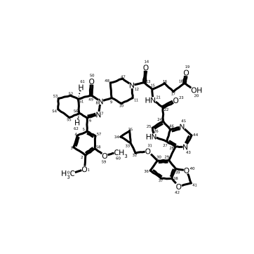 COc1ccc(C2=NN(C3CCN(C(=O)C(CCC(=O)O)NC(=O)c4c[nH]c5c(-c6c(OCC7CC7)ccc7c6OCO7)ncnc45)CC3)C(=O)[C@@H]3CCCC[C@H]23)cc1OC